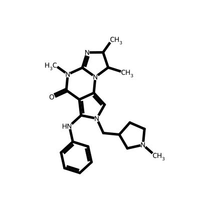 CC1N=C2N(C)C(=O)c3c(cn(CC4CCN(C)C4)c3Nc3ccccc3)N2C1C